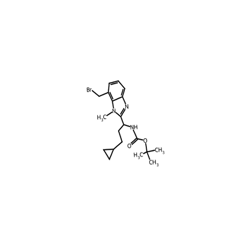 Cn1c(C(CCC2CC2)NC(=O)OC(C)(C)C)nc2cccc(CBr)c21